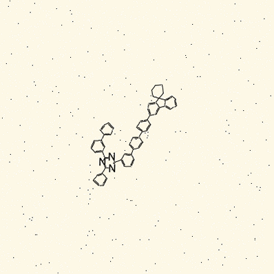 c1ccc(-c2cccc(-c3nc(-c4ccccc4)nc(-c4cccc(-c5ccc(-c6ccc(-c7ccc8c(c7)-c7ccccc7C87CCCCC7)cc6)cc5)c4)n3)c2)cc1